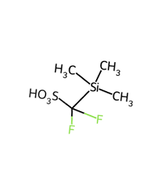 C[Si](C)(C)C(F)(F)S(=O)(=O)O